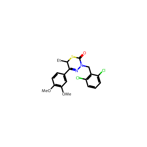 CCC1SC(=O)N(Cc2c(Cl)cccc2Cl)N=C1c1ccc(OC)c(OC)c1